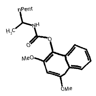 CCCCCC(C)NC(=O)Oc1c(OC)cc(OC)c2ccccc12